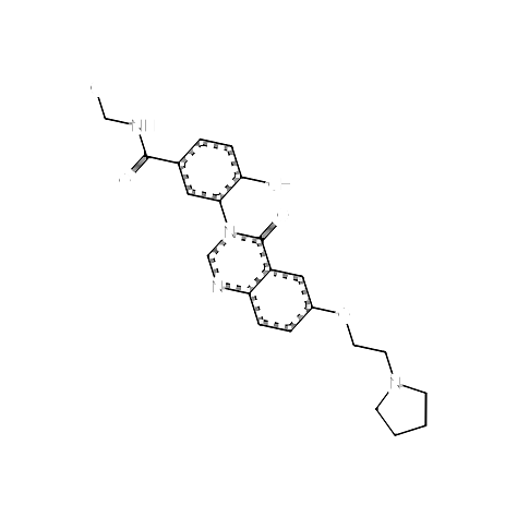 CCNC(=O)c1ccc(C)c(-n2cnc3ccc(OCCN4CCCC4)cc3c2=O)c1